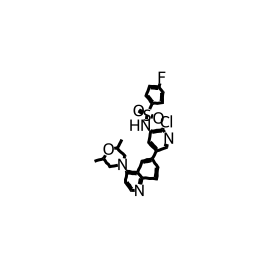 CC1CN(c2ccnc3ccc(-c4cnc(Cl)c(NS(=O)(=O)c5ccc(F)cc5)c4)cc23)CC(C)O1